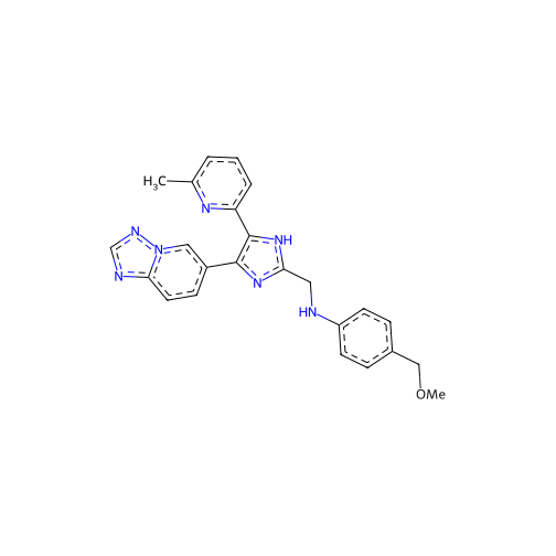 COCc1ccc(NCc2nc(-c3ccc4ncnn4c3)c(-c3cccc(C)n3)[nH]2)cc1